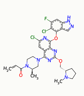 C=CC(=O)N1CCN(c2nc(OC[C@@H]3CCCN3C)nc3c(Oc4c(Cl)c(F)cc5[nH]ncc45)nc(Cl)cc23)C[C@H]1C